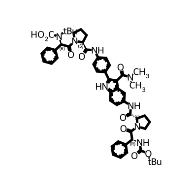 CN(C)C(=O)c1c(-c2ccc(NC(=O)[C@@H]3CCCN3C(=O)[C@@H](c3ccccc3)N(C(=O)O)C(C)(C)C)cc2)[nH]c2ccc(NC(=O)[C@@H]3CCCN3C(=O)[C@H](NC(=O)OC(C)(C)C)c3ccccc3)cc12